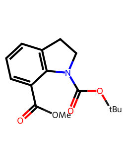 COC(=O)c1cccc2c1N(C(=O)OC(C)(C)C)CC2